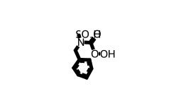 O=C(OO)N(Cc1ccccc1)S(=O)(=O)O